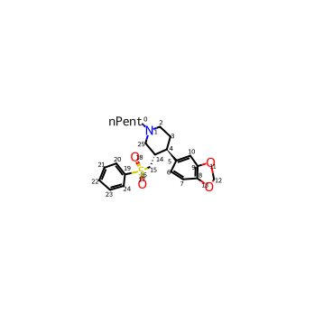 CCCCCN1CC[C@@H](c2ccc3c(c2)OCO3)[C@H](CS(=O)(=O)c2ccccc2)C1